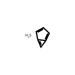 S.c1cc2cc-2c1